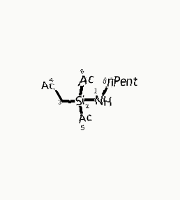 CCCCCN[Si](CC(C)=O)(C(C)=O)C(C)=O